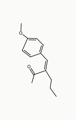 CCCC(=Cc1ccc(OC)cc1)C(C)=O